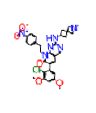 COc1cc(OC)c(Cl)c(-c2cc3cnc(NC4CC5(C4)CN(C)C5)nc3n(CCc3ccc([N+](=O)[O-])cc3)c2=O)c1